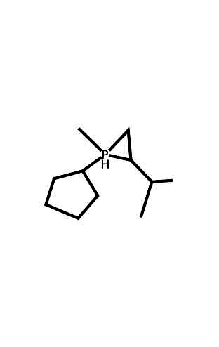 CC(C)C1C[PH]1(C)C1CCCC1